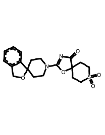 O=C1N=C(N2CCC3(CC2)OCc2ccccc23)OC12CCS(=O)(=O)CC2